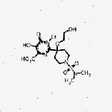 CCn1c(C2(OCCO)CCN(S(=O)(=O)N(C)C)CC2)nc(C(=O)O)c(O)c1=O